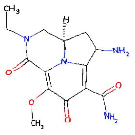 CCN1C[C@H]2CC(N)c3c(C(N)=O)c(=O)c(OC)c(n32)C1=O